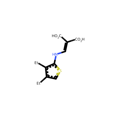 CCc1csc(NC=C(C(=O)O)C(=O)O)c1CC